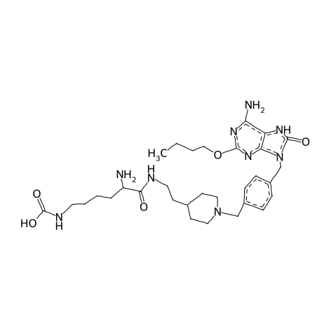 CCCCOc1nc(N)c2[nH]c(=O)n(Cc3ccc(CN4CCC(CCNC(=O)C(N)CCCCNC(=O)O)CC4)cc3)c2n1